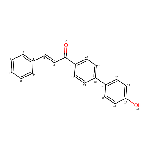 O=C(C=Cc1ccccc1)c1ccc(-c2ccc(O)cc2)cc1